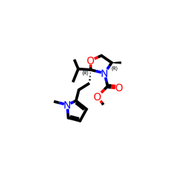 COC(=O)N1[C@H](C)CO[C@]1(CCc1cccn1C)C(C)C